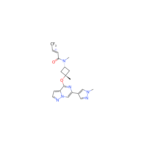 Cn1cc(-c2cn3nccc3c(O[C@]3(C)C[C@H](N(C)C(=O)/C=C/C(F)(F)F)C3)n2)cn1